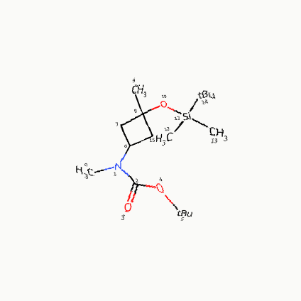 CN(C(=O)OC(C)(C)C)C1CC(C)(O[Si](C)(C)C(C)(C)C)C1